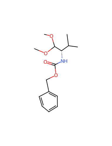 COC(OC)[C@@H](NC(=O)OCc1ccccc1)C(C)C